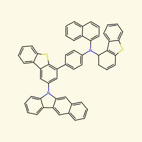 C1=Cc2sc3ccccc3c2C(N(c2ccc(-c3cc(-n4c5ccccc5c5cc6ccccc6cc54)cc4c3sc3ccccc34)cc2)c2cccc3ccccc23)C1